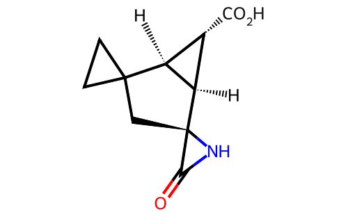 O=C(O)[C@H]1[C@H]2[C@@H]1[C@]1(CC23CC3)NC1=O